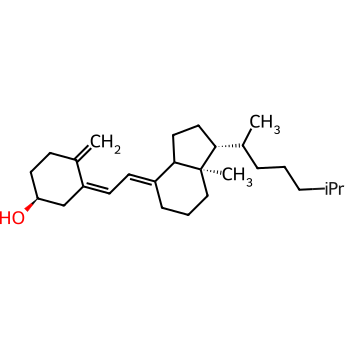 C=C1CC[C@H](O)C/C1=C/C=C1\CCC[C@@]2(C)C1CC[C@@H]2C(C)CCCC(C)C